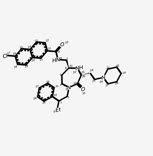 CCC(CN1CC[C@@H](CNC(=O)c2ccc3cc(Cl)ccc3c2)N[C@H](CCN2CCCCC2)C1=O)c1ccccc1